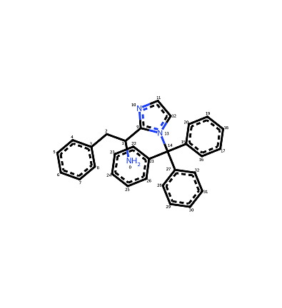 NC(Cc1ccccc1)c1nccn1C(c1ccccc1)(c1ccccc1)c1ccccc1